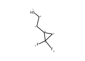 FC1(F)CC1CCS